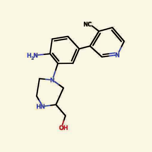 N#Cc1ccncc1-c1ccc(N)c(N2CCNC(CO)C2)c1